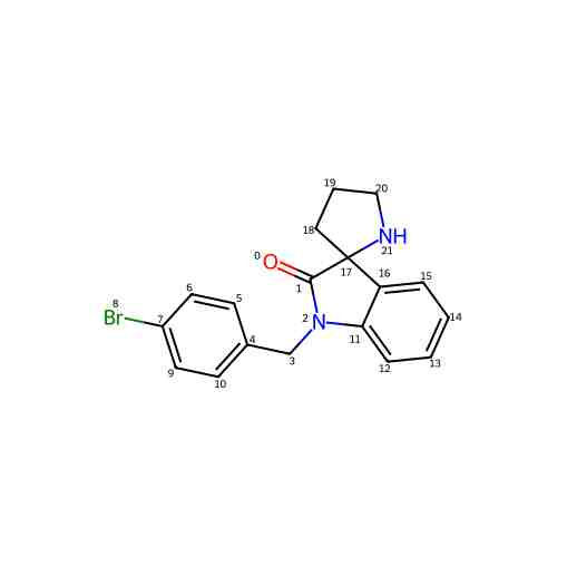 O=C1N(Cc2ccc(Br)cc2)c2ccccc2C12CCCN2